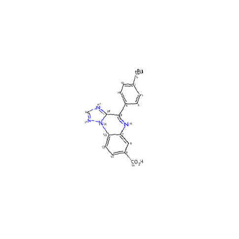 CC(C)(C)c1ccc(-c2nc3cc(C(=O)O)ccc3n3ncnc23)cc1